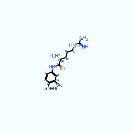 COc1ccc(NC(=O)[C@H](N)CCCNC(=N)N)cc1C(C)=O